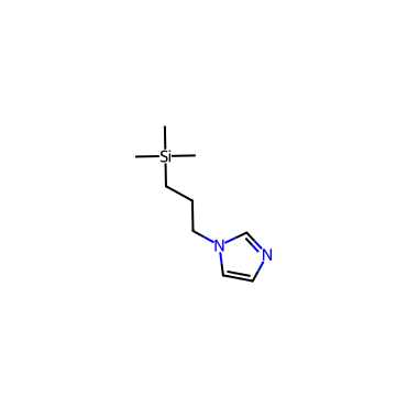 C[Si](C)(C)CCCn1ccnc1